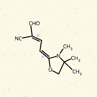 CN1/C(=C\C=C(/C#N)C=O)OCC1(C)C